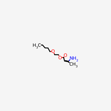 CCCCCOCCOC(=O)C=C(C)N